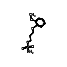 COc1ccccc1OCCCOS(N)(=O)=O